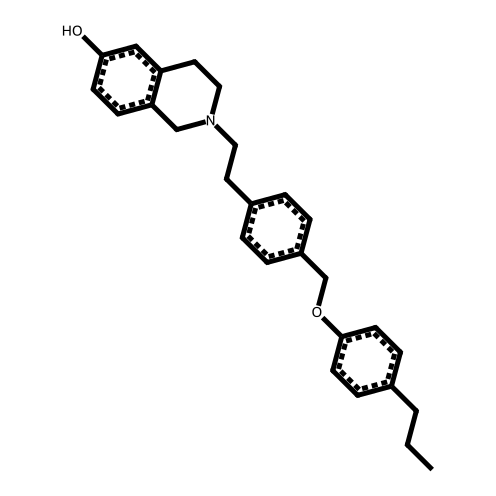 CCCc1ccc(OCc2ccc(CCN3CCc4cc(O)ccc4C3)cc2)cc1